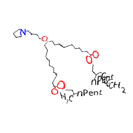 C=C=C=C=CC(CCCCC)CCOC(=O)CCCCCCCCCC(CCCCCCCCCC(=O)OCCC(C)CCCCC)OCCCCN1CCCC1